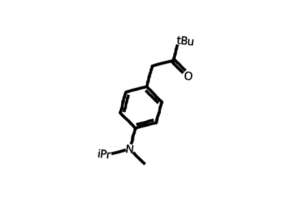 CC(C)N(C)c1ccc(CC(=O)C(C)(C)C)cc1